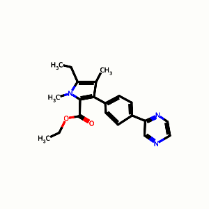 CCOC(=O)c1c(-c2ccc(-c3cnccn3)cc2)c(C)c(CC)n1C